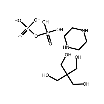 C1CNCCN1.O=P(O)(O)OP(=O)(O)O.OCC(CO)(CO)CO